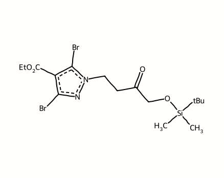 CCOC(=O)c1c(Br)nn(CCC(=O)CO[Si](C)(C)C(C)(C)C)c1Br